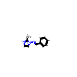 CCCc1nccn1N=Cc1ccccc1